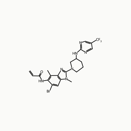 C=CC(=O)Nc1c(Br)cc2c(nc(N3CCCC(Nc4ncc(C(F)(F)F)cn4)C3)n2C)c1C